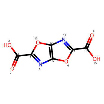 O=C(O)c1nc2oc(C(=O)O)nc2o1